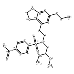 COC(CN(CCc1cc(CCO)cc2c1OCO2)S(=O)(=O)c1ccc([N+](=O)[O-])cc1)OC